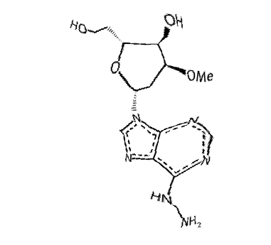 CO[C@@H]1[C@H](O)[C@@H](CO)O[C@H]1n1cnc2c(NN)ncnc21